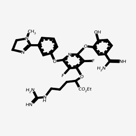 CCOC(=O)C(CCCNC(=N)N)Oc1c(F)c(Oc2cccc(C3=NCCN3C)c2)nc(Oc2cc(C(=N)N)ccc2O)c1F